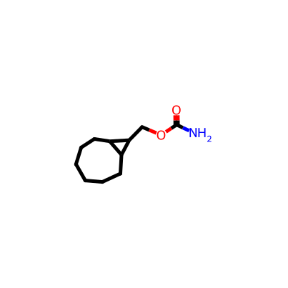 NC(=O)OCC1C2CCCCCCC21